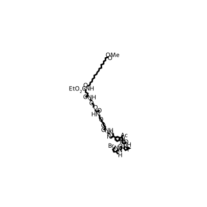 CCOC(=O)[C@H](CCC(=O)NCCOCCOCC(=O)NCCOCCOCC(=O)NCc1ncc(-c2ccc3c(c2)c(C(C)=O)nn3CC(=O)N2[C@H](C(=O)Nc3nc(Br)ccc3C)C[C@@]3(C)C[C@@H]23)cn1)NC(=O)CCCCCCCCCCCCCCCCC(=O)OC